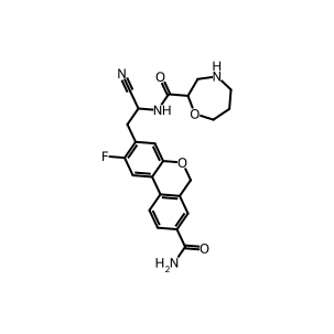 N#CC(Cc1cc2c(cc1F)-c1ccc(C(N)=O)cc1CO2)NC(=O)C1CNCCCO1